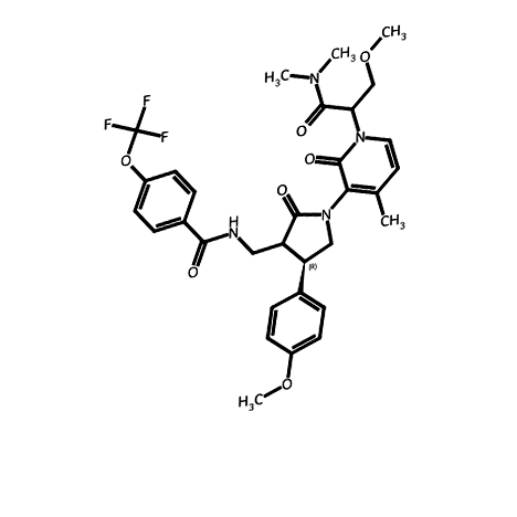 COCC(C(=O)N(C)C)n1ccc(C)c(N2C[C@@H](c3ccc(OC)cc3)C(CNC(=O)c3ccc(OC(F)(F)F)cc3)C2=O)c1=O